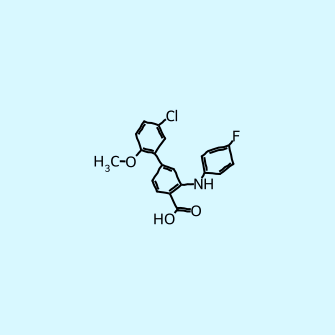 COc1ccc(Cl)cc1-c1ccc(C(=O)O)c(Nc2ccc(F)cc2)c1